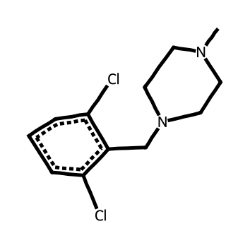 CN1CCN(Cc2c(Cl)cccc2Cl)CC1